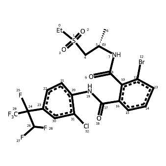 CCS(=O)(=O)C[C@H](C)NC(=O)c1c(Br)cccc1C(=O)Nc1ccc(C(F)(C(F)F)C(F)(F)F)cc1Cl